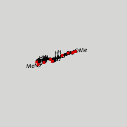 CNC(=O)c1ccccc1Sc1ccc2c(C#Cc3cccc(NC(=O)NCCOCCOCCOCCOC)c3)n[nH]c2c1